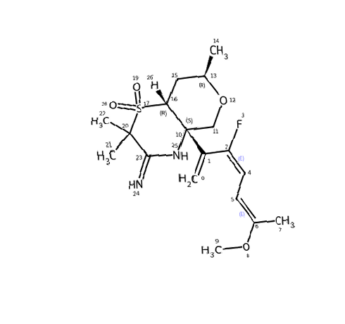 C=C(/C(F)=C\C=C(/C)OC)[C@]12CO[C@H](C)C[C@H]1S(=O)(=O)C(C)(C)C(=N)N2